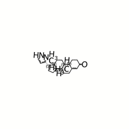 C[C@]12CC[C@H]3[C@@H](CCC4=CC(=O)CC[C@@]43C)[C@@H]1CC[C@@H]2c1cc[nH]n1